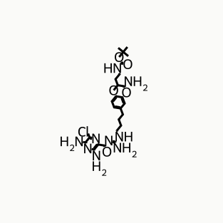 CC(C)(C)OC(=O)NCCC(Oc1ccc(CCCCNC(N)=NC(=O)c2nc(Cl)c(N)nc2N)cc1)C(N)=O